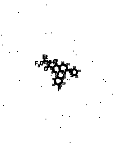 CCC(NC(=O)c1cn(-c2ccc(F)cc2F)c2nc(N3CCCS3)ccc2c1=O)C(F)(F)F